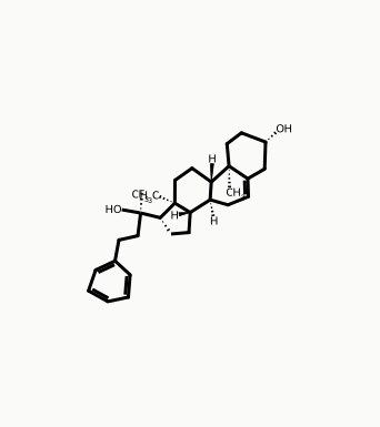 C[C@]12CC[C@H]3[C@@H](CC=C4C[C@@H](O)CC[C@@]43C)[C@@H]1CC[C@@H]2[C@](O)(CCc1ccccc1)C(F)(F)F